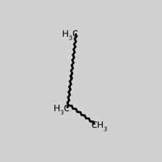 CCCCCCCCCCCCCCCCC=CCCCCCCCCCC(C)CCCCCCCCCCCC